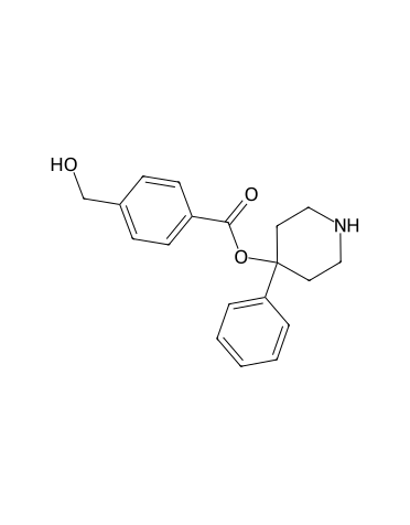 O=C(OC1(c2ccccc2)CCNCC1)c1ccc(CO)cc1